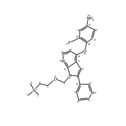 C[Si](C)(C)CCOCn1c(-c2cccnc2)cc2c(Oc3ccc(N)cc3F)ccnc21